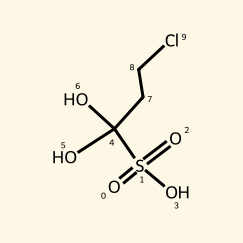 O=S(=O)(O)C(O)(O)CCCl